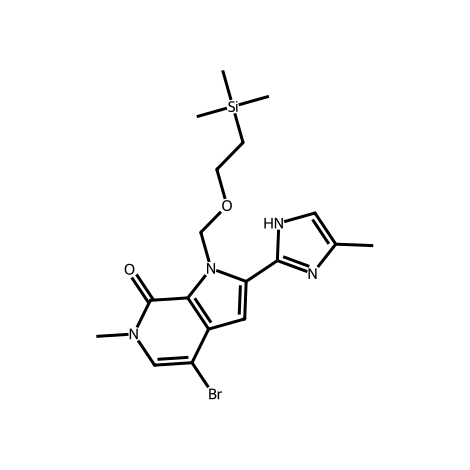 Cc1c[nH]c(-c2cc3c(Br)cn(C)c(=O)c3n2COCC[Si](C)(C)C)n1